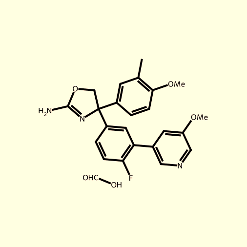 COc1cncc(-c2cc(C3(c4ccc(OC)c(C)c4)COC(N)=N3)ccc2F)c1.O=CO